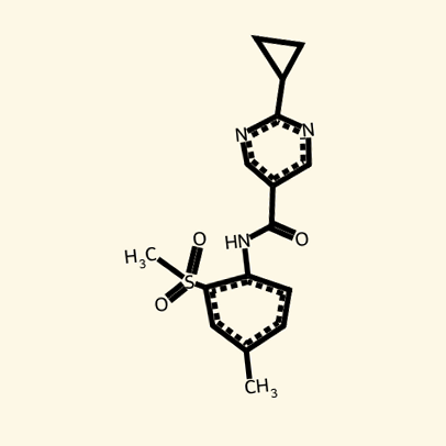 Cc1ccc(NC(=O)c2cnc(C3CC3)nc2)c(S(C)(=O)=O)c1